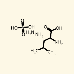 CC(C)CC(N)C(=O)O.N.N.O=S(=O)(O)O